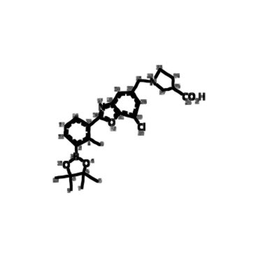 Cc1c(B2OC(C)(C)C(C)(C)O2)cccc1-c1nc2cc(CN3CCC(C(=O)O)C3)cc(Cl)c2o1